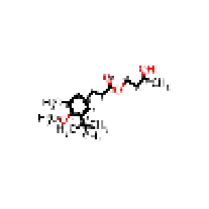 COc1c(C)cc(CCC(=O)OCCC(C)O)cc1C(C)(C)C